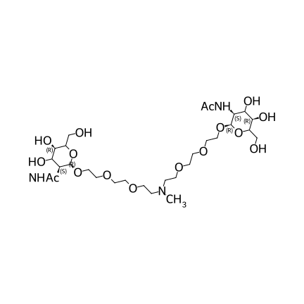 CC(=O)N[C@H]1C(O)[C@@H](O)C(CO)O[C@H]1OCCOCCOCCN(C)CCOCCOCCO[C@@H]1OC(CO)[C@H](O)C(O)[C@@H]1NC(C)=O